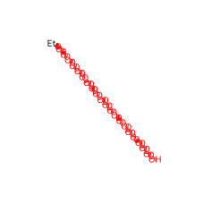 CCOOOOOOOOOOOOOOOOOOOOOOOOOOOOOOOOOOOOOOOOOO